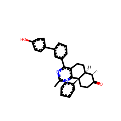 Cc1nc(-c2cccc(-c3ccc(O)cc3)c2)c2c(n1)[C@@]1(c3ccccc3)CCC(=O)[C@@H](C)[C@@H]1CC2